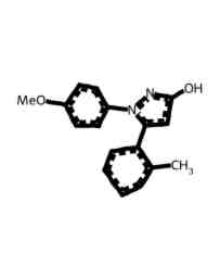 COc1ccc(-n2nc(O)cc2-c2ccccc2C)cc1